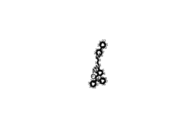 O=C(c1cccc2c1ncn2CCCCN1CC=C(c2ccccc2)CC1)N(c1ccccc1)c1ccccc1